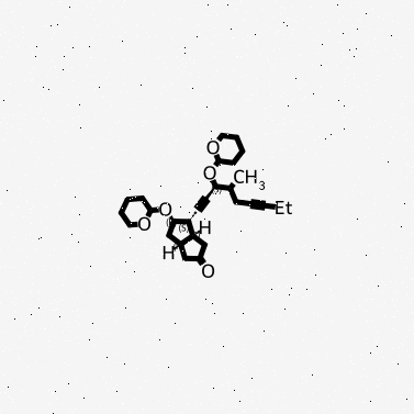 CCC#CCC(C)[C@@H](C#C[C@@H]1[C@H]2CC(=O)C[C@H]2C[C@H]1OC1CCCCO1)OC1CCCCO1